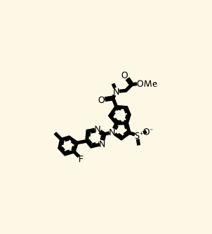 COC(=O)CN(C)C(=O)c1ccc2c([S+](C)[O-])cn(-c3ncc(-c4cc(C)ccc4F)cn3)c2c1